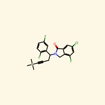 C[Si](C)(C)C#CCC(c1cc(F)ccc1F)N1Cc2c(F)cc(Cl)cc2C1=O